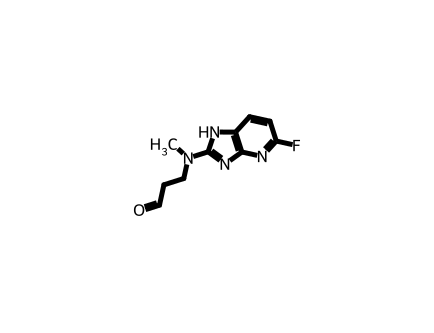 CN(CCC=O)c1nc2nc(F)ccc2[nH]1